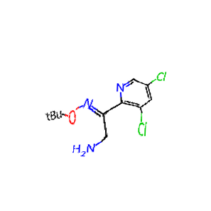 CC(C)(C)O/N=C(\CN)c1ncc(Cl)cc1Cl